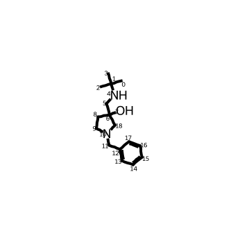 CC(C)(C)NCC1(O)CCN(Cc2ccccc2)C1